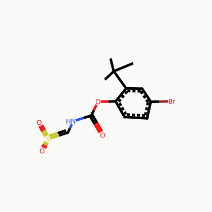 CC(C)(C)c1cc(Br)ccc1OC(=O)NC=S(=O)=O